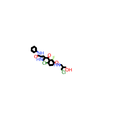 O=C(Nc1ccccc1)c1cc(C(=O)c2c(Cl)ccc(ONCC(CO)CCl)c2F)c[nH]1